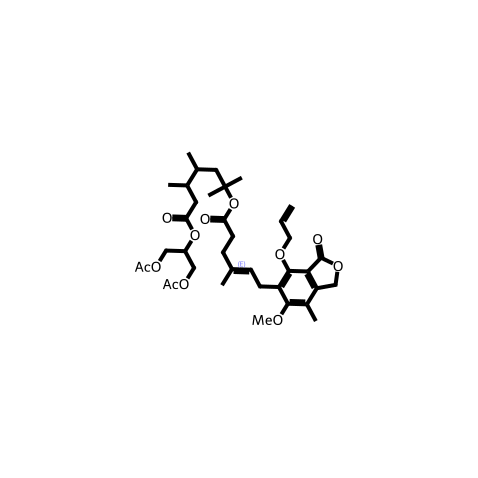 C=CCOc1c(C/C=C(\C)CCC(=O)OC(C)(C)CC(C)C(C)CC(=O)OC(COC(C)=O)COC(C)=O)c(OC)c(C)c2c1C(=O)OC2